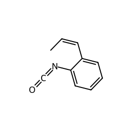 C/C=C\c1ccccc1N=C=O